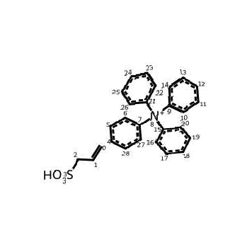 C=CCS(=O)(=O)O.c1ccc([N+](c2ccccc2)(c2ccccc2)c2ccccc2)cc1